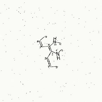 C\C=C/C(NC)=C(\C=C/C)NC